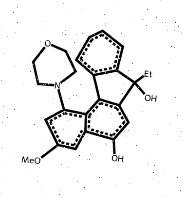 CCC1(O)c2ccccc2-c2c1cc(O)c1cc(OC)cc(N3CCOCC3)c21